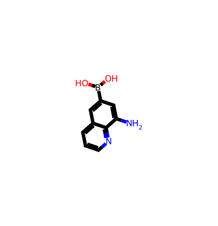 Nc1cc(B(O)O)cc2cccnc12